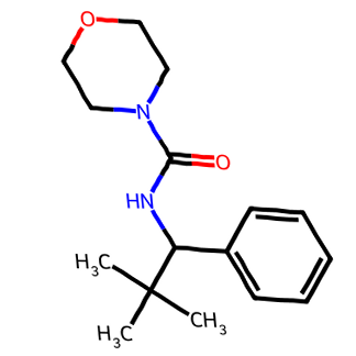 CC(C)(C)C(NC(=O)N1CCOCC1)c1ccccc1